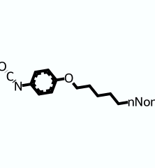 CCCCCCCCCCCCCCOc1ccc(N=C=O)cc1